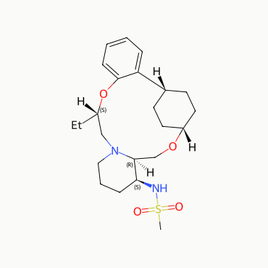 CC[C@H]1CN2CCC[C@H](NS(C)(=O)=O)[C@@H]2CO[C@H]2CC[C@H](CC2)c2ccccc2O1